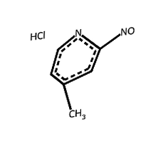 Cc1ccnc(N=O)c1.Cl